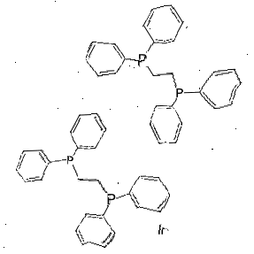 [Ir].c1ccc(P(CCP(c2ccccc2)c2ccccc2)c2ccccc2)cc1.c1ccc(P(CCP(c2ccccc2)c2ccccc2)c2ccccc2)cc1